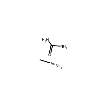 CC(C)=O.NC(N)=O.S